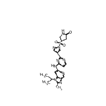 Cc1nc2cnc(Nc3ccnc(-c4cnn(S(=O)(=O)C5CNC(=O)C5)c4)n3)cc2n1C(C)C